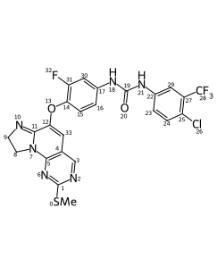 CSc1ncc2c(n1)N1CCN=C1C(Oc1ccc(NC(=O)Nc3ccc(Cl)c(C(F)(F)F)c3)cc1F)=C2